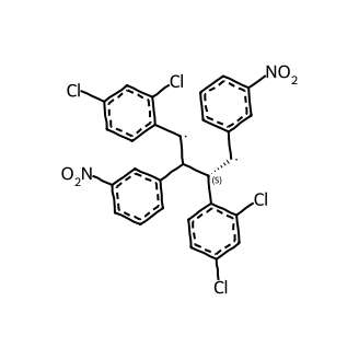 O=[N+]([O-])c1cccc([CH][C@H](c2ccc(Cl)cc2Cl)C([CH]c2ccc(Cl)cc2Cl)c2cccc([N+](=O)[O-])c2)c1